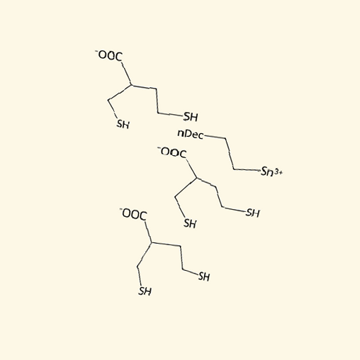 CCCCCCCCCCC[CH2][Sn+3].O=C([O-])C(CS)CCS.O=C([O-])C(CS)CCS.O=C([O-])C(CS)CCS